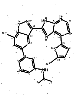 CC(C)Nc1cncc(-c2cc(F)c3[nH]nc(-c4nc5c(-c6ccc(F)s6)ccnc5[nH]4)c3c2)c1